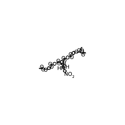 C=CC(=O)OCOc1ccc(OC(=O)C2CCC(C(=O)Oc3ccc(OC(=O)C4CCC(C(=O)Oc5ccc(OCC(COC(=O)C=C)OC(=O)C=C)cc5)CC4)c4nc(NNc5ccc([N+](=O)[O-])cc5)sc34)CC2)cc1